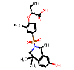 CCC(Oc1ccc(S(=O)(=O)N2CC(C)(C)c3ccc(O)cc3C2C)cc1C)C(=O)O